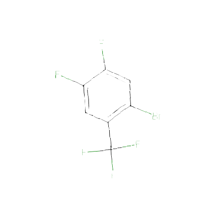 Fc1cc(Br)c(C(F)(F)F)cc1F